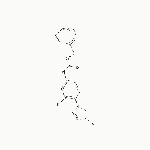 Cc1cn(-c2ccc(NC(=O)OCc3ccccc3)cc2F)cn1